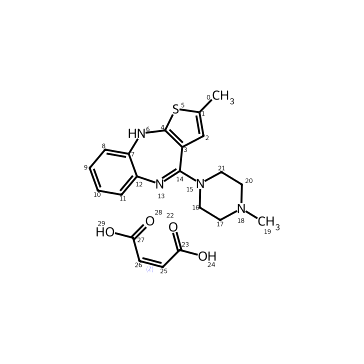 Cc1cc2c(s1)Nc1ccccc1N=C2N1CCN(C)CC1.O=C(O)/C=C\C(=O)O